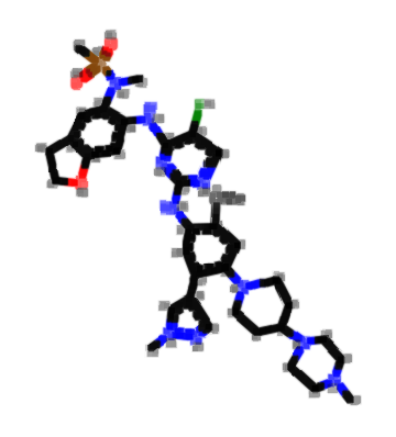 COc1cc(N2CCC(N3CCN(C)CC3)CC2)c(-c2cnn(C)c2)cc1Nc1ncc(F)c(Nc2cc3c(cc2N(C)S(C)(=O)=O)CCO3)n1